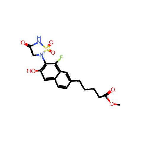 COC(=O)CCCCc1ccc2cc(O)c(N3CC(=O)NS3(=O)=O)c(F)c2c1